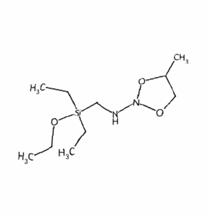 CCO[Si](CC)(CC)CNN1OCC(C)O1